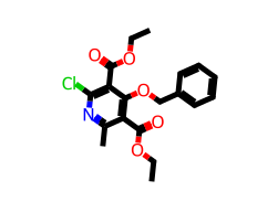 CCOC(=O)c1c(C)nc(Cl)c(C(=O)OCC)c1OCc1ccccc1